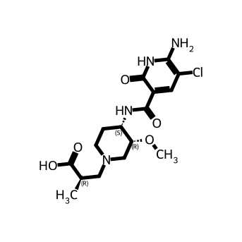 CO[C@@H]1CN(C[C@@H](C)C(=O)O)CC[C@@H]1NC(=O)c1cc(Cl)c(N)[nH]c1=O